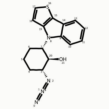 [N-]=[N+]=N[C@@H]1CCC[C@H](n2c3ccccc3c3sccc32)[C@H]1O